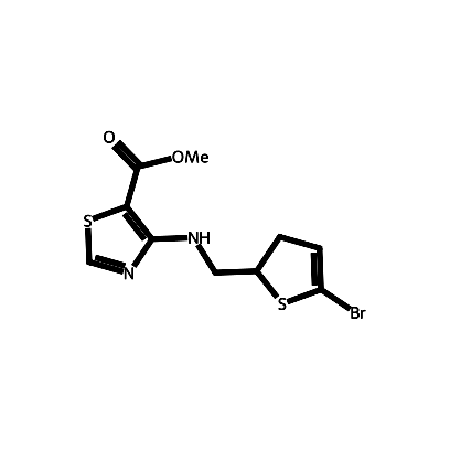 COC(=O)c1scnc1NCC1CC=C(Br)S1